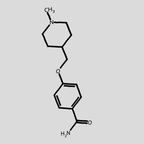 CN1CCC(COc2ccc(C(N)=O)cc2)CC1